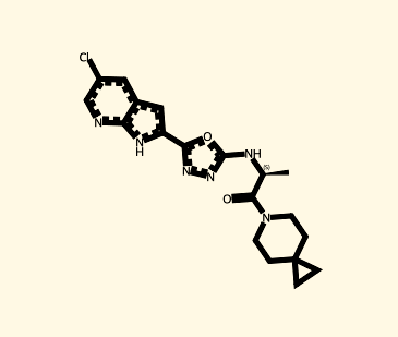 C[C@H](Nc1nnc(-c2cc3cc(Cl)cnc3[nH]2)o1)C(=O)N1CCC2(CC1)CC2